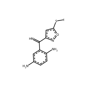 N=C(c1cc(SI)on1)c1cc(N)ccc1N